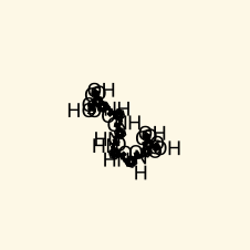 O=C(Nc1cccc(C(=O)Nc2cccc(C(=O)Nc3ccc4c(S(=O)(=O)O)cc(S(=O)(=O)O)cc4c3)c2)c1)Nc1cccc(C(=O)Nc2cccc(C(=O)Nc3ccc4c(S(=O)(=O)O)cc(S(=O)(=O)O)cc4c3)c2)c1